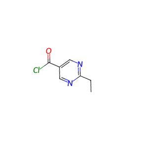 CCc1ncc(C(=O)Cl)cn1